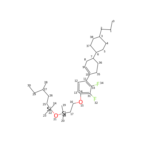 CCCC1CCC(C2CC=C(c3ccc(OCC[Si](C)(C)O[Si](C)(C)CCC(C)CC)c(F)c3F)CC2)CC1